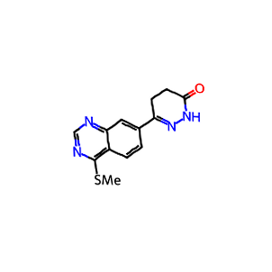 CSc1ncnc2cc(C3=NNC(=O)CC3)ccc12